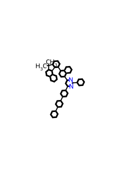 CC1(C)c2cccc(-c3ccc(-c4cc(-c5ccc(-c6ccc(-c7ccccc7)cc6)cc5)nc(-c5ccccc5)n4)c4ccccc34)c2-c2c1ccc1ccccc21